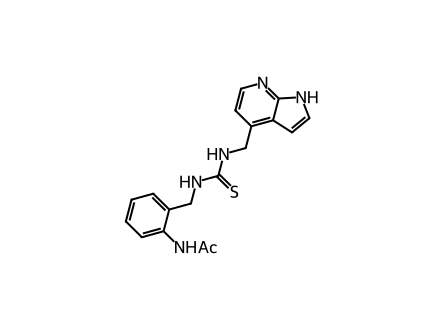 CC(=O)Nc1ccccc1CNC(=S)NCc1ccnc2[nH]ccc12